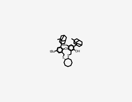 CC12CC3CC(C1)CC(c1cc(C(C)(C)C)cc(CS[C@H]4CCCCCC[C@@H]4SCc4cc(C(C)(C)C)cc(C56CC7CC(CC(C)(C7)C5)C6)c4O)c1O)(C3)C2